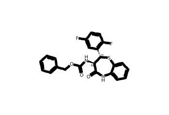 O=C(N[C@@H]1C(=O)Nc2ccccc2S[C@H]1c1cc(F)ccc1F)OCc1ccccc1